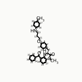 COC(=O)[C@H](Cc1ccc(OCCCNc2ccc(C)cc2)cc1)Nc1ccccc1C(=O)c1ccccc1